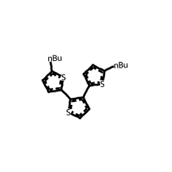 CCCCc1ccc(-c2ccsc2-c2ccc(CCCC)s2)s1